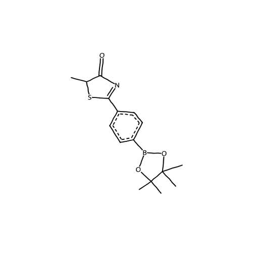 CC1SC(c2ccc(B3OC(C)(C)C(C)(C)O3)cc2)=NC1=O